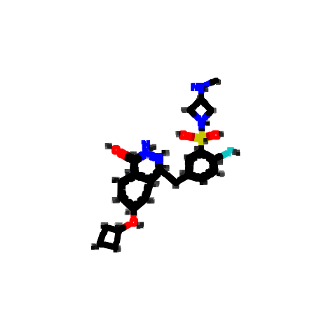 CNC1CN(S(=O)(=O)c2cc(Cc3n[nH]c(=O)c4ccc(OC5CCC5)cc34)ccc2F)C1